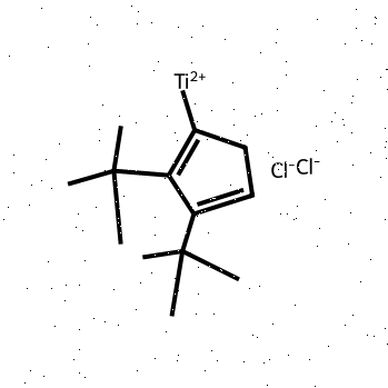 CC(C)(C)C1=CC[C]([Ti+2])=C1C(C)(C)C.[Cl-].[Cl-]